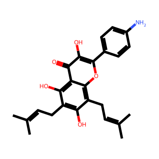 CC(C)=CCc1c(O)c(CC=C(C)C)c2oc(-c3ccc(N)cc3)c(O)c(=O)c2c1O